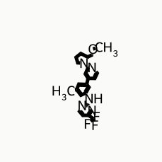 COCC1CCCN1c1cc(-c2cc(C)cc(Nc3nccc(C(F)(F)F)n3)c2)ccn1